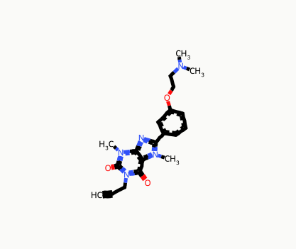 C#CCn1c(=O)c2c(nc(-c3cccc(OCCN(C)C)c3)n2C)n(C)c1=O